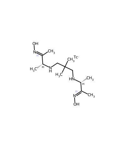 C/C(=N\O)[C@@H](C)NCC(C)(C)CN[C@H](C)/C(C)=N/O.[Tc]